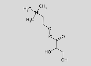 C[N+](C)(C)CCO[P-]C(=O)C(O)CO